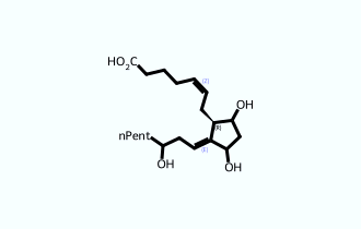 CCCCCC(O)C/C=C1/C(O)CC(O)[C@@H]1C/C=C\CCCC(=O)O